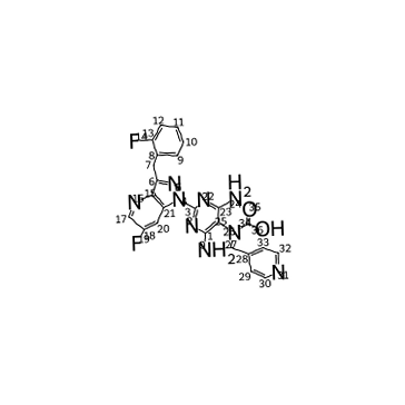 Nc1nc(-n2nc(Cc3ccccc3F)c3ncc(F)cc32)nc(N)c1N(Cc1ccncc1)C(=O)O